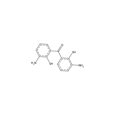 Nc1cccc(C(=O)c2cccc(N)c2S)c1S